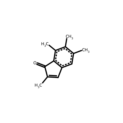 CC1=Cc2cc(C)c(C)c(C)c2C1=O